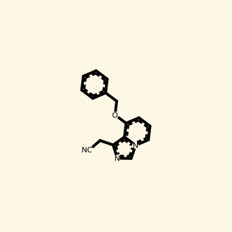 N#CCc1ncn2cccc(OCc3ccccc3)c12